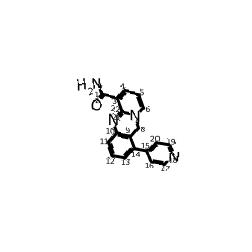 NC(=O)C1=CC=CN2Cc3c(cccc3-c3ccncc3)N=C12